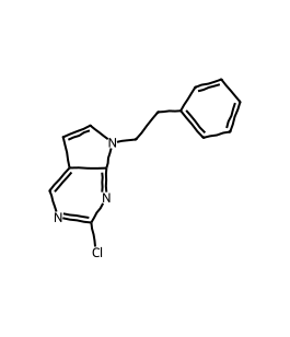 Clc1ncc2ccn(CCc3ccccc3)c2n1